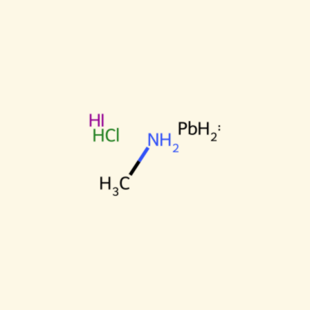 CN.Cl.I.[PbH2]